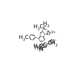 CC1=C2C3=NC=CC3=C1[Si]2(C)C.Cc1ccc(-c2cccc3c2C=C(C(C)C)[CH]3[Zr+2])cc1.[Cl-].[Cl-]